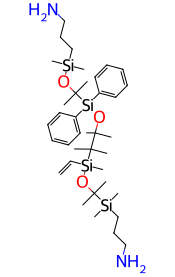 C=C[Si](C)(OC(C)(C)[Si](C)(C)CCCN)C(C)(C)C(C)(C)O[Si](c1ccccc1)(c1ccccc1)C(C)(C)O[Si](C)(C)CCCN